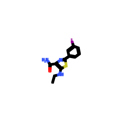 CCNc1sc(-c2cccc(I)c2)nc1C(N)=O